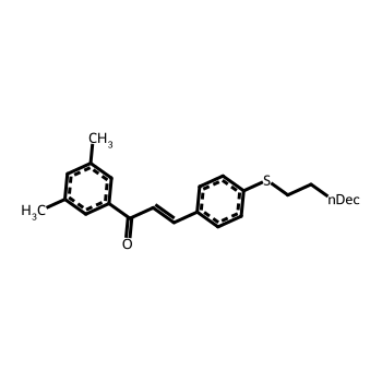 CCCCCCCCCCCCSc1ccc(C=CC(=O)c2cc(C)cc(C)c2)cc1